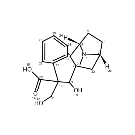 CN1[C@@H]2CC[C@H]1CC(C(O)C(CO)(C(=O)O)c1ccccc1)C2